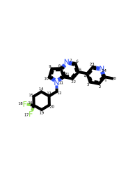 Cc1ccc(-c2cnc3ccn(CC4CCC(F)(F)CC4)c3c2)cn1